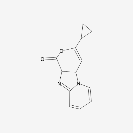 O=C1OC(C2CC2)=CC2C1N=C1C=CC=CN12